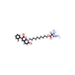 Cc1ccccc1-c1cc2ccc(=O)n(CCCCCCCCCCOC(=O)C(C)(N)CN)c2oc1=O